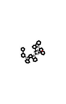 c1ccc(-c2cccc(-n3c4ccccc4c4c5c6ccccc6n(-c6nc(-c7ccccc7)nc(-c7cccc8c9ccccc9n(-c9ccccc9)c78)n6)c5ccc43)c2)cc1